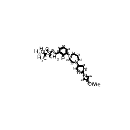 C=C(C)[Si](C)(C)OCc1cccc(N2CCCN(c3cnc(N4CC(OC)C4)nc3)CC2)c1F